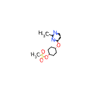 Cc1nccc(O[C@H]2CC[C@H](OS(C)(=O)=O)CC2)n1